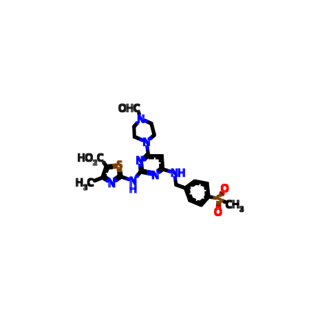 Cc1nc(Nc2nc(NCc3ccc(S(C)(=O)=O)cc3)cc(N3CCN(C=O)CC3)n2)sc1C(=O)O